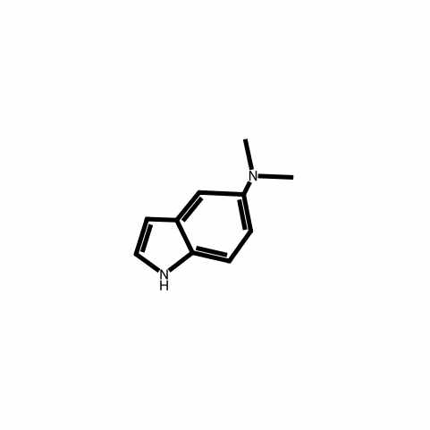 CN(C)c1ccc2[nH]ccc2c1